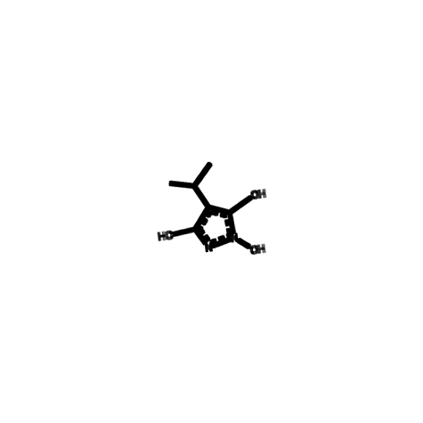 CC(C)c1c(O)nn(O)c1O